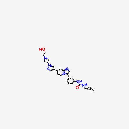 O=C(NCC(F)(F)F)Nc1cccc(-c2cnc3cc(-c4cnn(C5CN(CCO)C5)c4)ccn23)c1